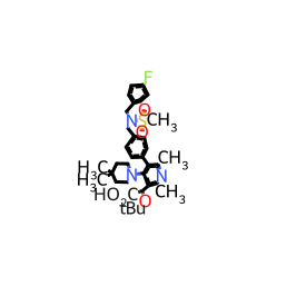 Cc1nc(C)c(C(OC(C)(C)C)C(=O)O)c(N2CCC(C)(C)CC2)c1-c1ccc(CN(Cc2ccc(F)cc2)S(C)(=O)=O)cc1